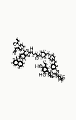 C=CC(=O)N1CCN(c2nc(NCCC(=O)N3CCC(CN4CCN(Cc5ccc(-n6c(C(=O)NCC(F)(F)F)nnc6-c6cc(CC)c(O)cc6O)cc5)CC4)CC3)nc3c2CCN(c2cccc4cccc(Cl)c24)C3)C[C@H]1CC#N